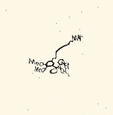 CCN1CCC[C@@H]1N(C)C(=O)c1cc(CCCCCCN=[N+]=[N-])cc(OC)c1OC